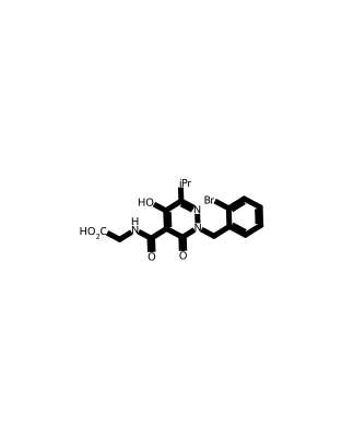 CC(C)c1nn(Cc2ccccc2Br)c(=O)c(C(=O)NCC(=O)O)c1O